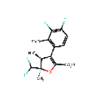 CCOC(=O)C1=C(c2ccc(F)c(F)c2OC)[C@H](C)[C@](C)(C(F)F)O1